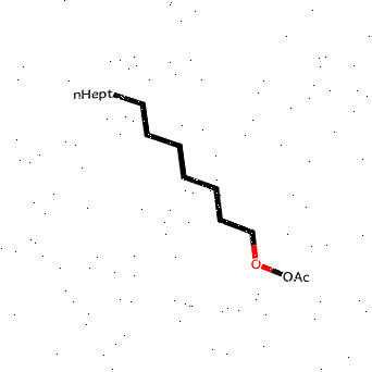 CCCCCCCCCCCCCCOOC(C)=O